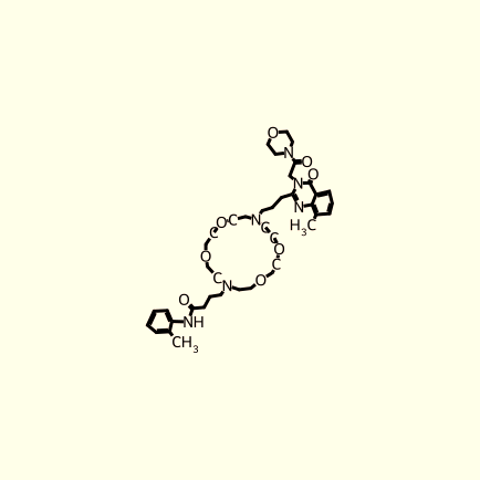 Cc1ccccc1NC(=O)CCCN1CCOCCOCCN(CCCc2nc3c(C)cccc3c(=O)n2CC(=O)N2CCOCC2)CCOCCOCC1